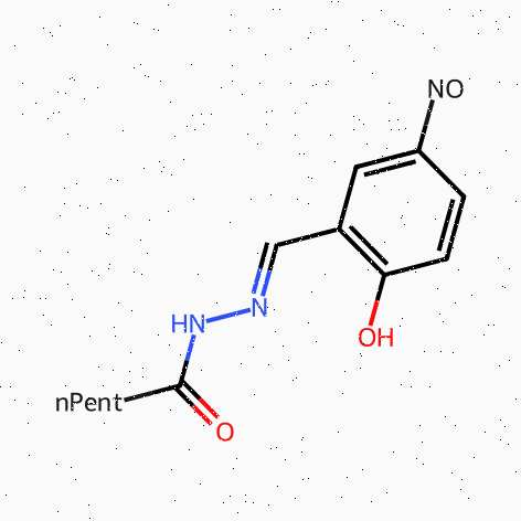 CCCCCC(=O)N/N=C/c1cc(N=O)ccc1O